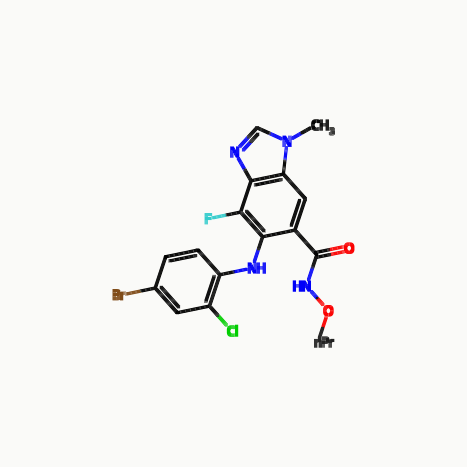 CCCONC(=O)c1cc2c(ncn2C)c(F)c1Nc1ccc(Br)cc1Cl